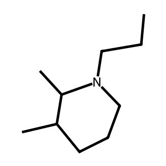 CCCN1CCCC(C)C1C